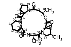 C[C@@H]1C[C@H]2C(=O)O[C@@H](C)CC(=O)N3CCC[C@H]3C(=O)N3CCCC[C@H]3C(=O)N[C@@H](C)C(=O)N2C1